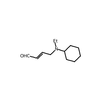 CCN(C/C=C/C=O)C1CCCCC1